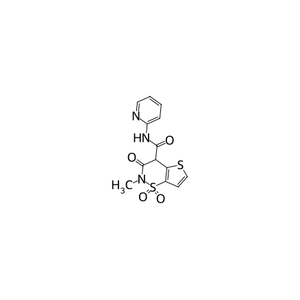 CN1C(=O)C(C(=O)Nc2ccccn2)c2sccc2S1(=O)=O